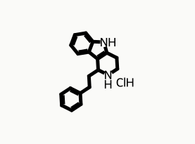 Cl.c1ccc(CCC2NCCc3[nH]c4ccccc4c32)cc1